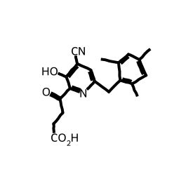 Cc1cc(C)c(Cc2cc(C#N)c(O)c(C(=O)CCC(=O)O)n2)c(C)c1